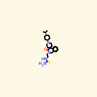 CC(C)[C@H]1CC[C@@H](N2CCC3(CC2)C(=O)N(CCNC(N)=S)Cc2ccccc23)CC1